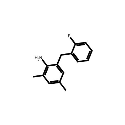 Cc1cc(C)c(N)c(Cc2ccccc2F)c1